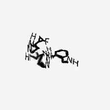 FC1CC1c1cc(Nc2ccnc(NCc3cccc4[nH]ccc34)n2)n[nH]1